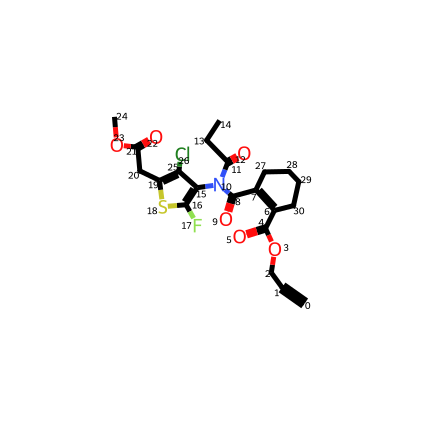 C#CCOC(=O)C1=C(C(=O)N(C(=O)CC)c2c(F)sc(CC(=O)OC)c2Cl)CCCC1